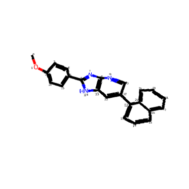 COc1ccc(-c2nc3ncc(-c4cccc5ccccc45)cc3[nH]2)cc1